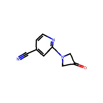 N#Cc1ccnc(N2CC(=O)C2)c1